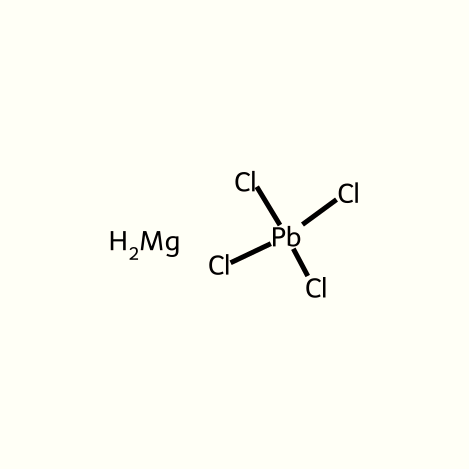 [Cl][Pb]([Cl])([Cl])[Cl].[MgH2]